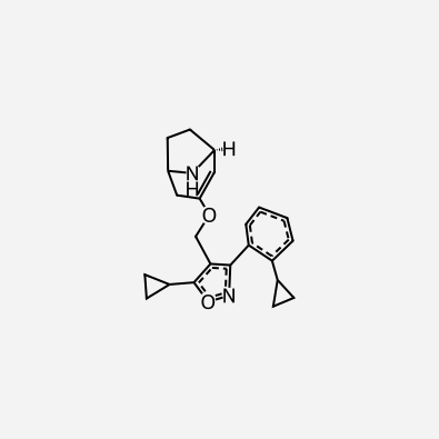 C1=C(OCc2c(-c3ccccc3C3CC3)noc2C2CC2)CC2CC[C@@H]1N2